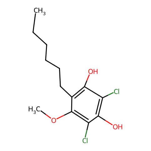 CCCCCCc1c(O)c(Cl)c(O)c(Cl)c1OC